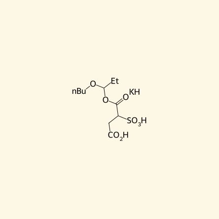 CCCCOC(CC)OC(=O)C(CC(=O)O)S(=O)(=O)O.[KH]